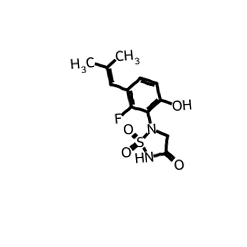 CC(C)=Cc1ccc(O)c(N2CC(=O)NS2(=O)=O)c1F